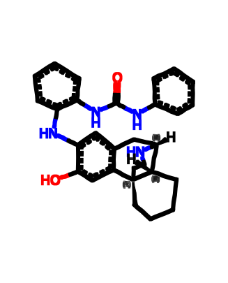 O=C(Nc1ccccc1)Nc1ccccc1Nc1cc2c(cc1O)[C@@]13CCCC[C@H]1[C@@H](C2)NCC3